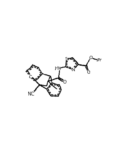 CC(C)OC(=O)c1csc(NC(=O)C2(C)CC3(C#N)c4ccccc4C2c2ccccc23)n1